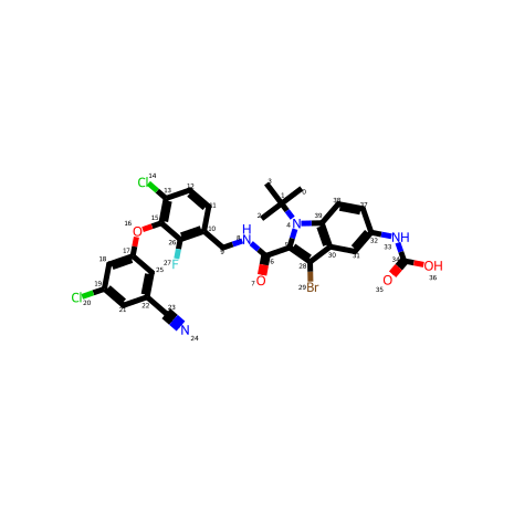 CC(C)(C)n1c(C(=O)NCc2ccc(Cl)c(Oc3cc(Cl)cc(C#N)c3)c2F)c(Br)c2cc(NC(=O)O)ccc21